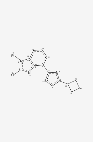 CC(C)n1c(Cl)nc2c(-c3nc(C4CCC4)cs3)cccc21